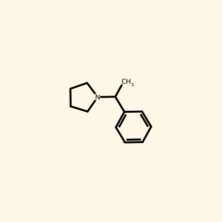 CC(c1c[c]ccc1)N1CCCC1